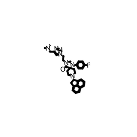 CN(C)Cc1cn(CCN2CN(c3ccc(F)cc3)C3(CCN([C@H]4Cc5cccc6cccc4c56)CC3)C2=O)nn1